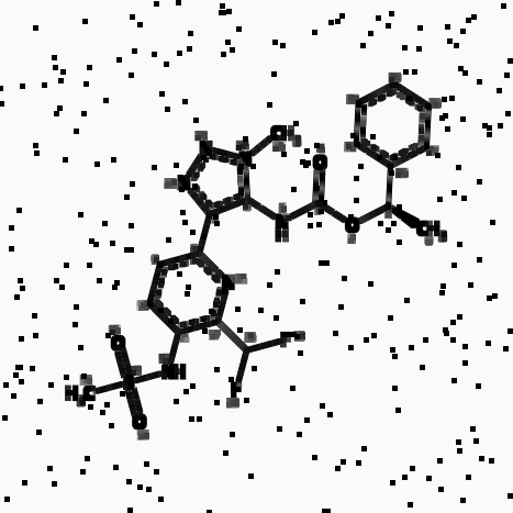 C[C@@H](OC(=O)Nc1c(-c2ccc(NS(C)(=O)=O)c(C(F)F)n2)nnn1C)c1ccccc1